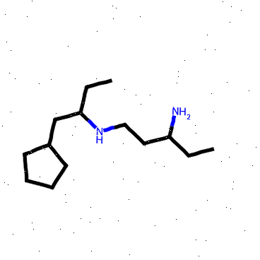 CCC(N)CCNC(CC)CC1CCCC1